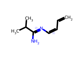 C=C/C=C\N=C(/N)C(C)C